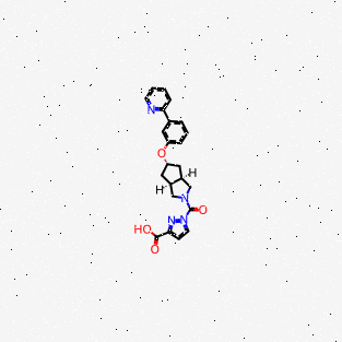 O=C(O)c1ccn(C(=O)N2C[C@H]3C[C@H](Oc4cccc(-c5ccccn5)c4)C[C@H]3C2)n1